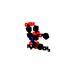 Cc1ccc(S(=O)(=O)N(C)CC(=O)N(Cc2ccc(-c3ccc(C(=O)O)cc3)cc2)c2ccc(C(=O)OCc3ccccc3)c(OCc3ccccc3)c2)cc1